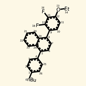 CCCCc1ccc(-c2ccc(-c3ccc(OCC)c(F)c3F)c3ccccc23)cc1